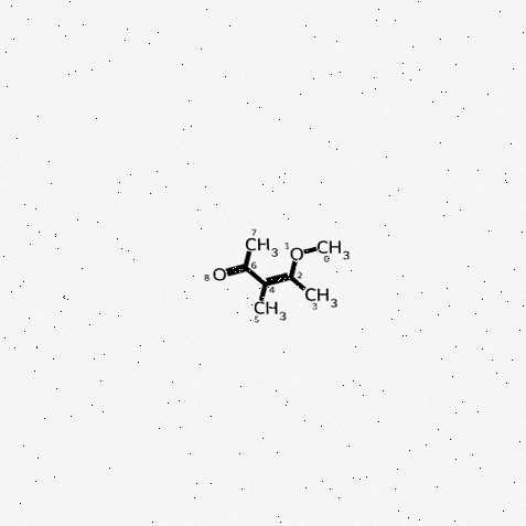 CO/C(C)=C(/C)C(C)=O